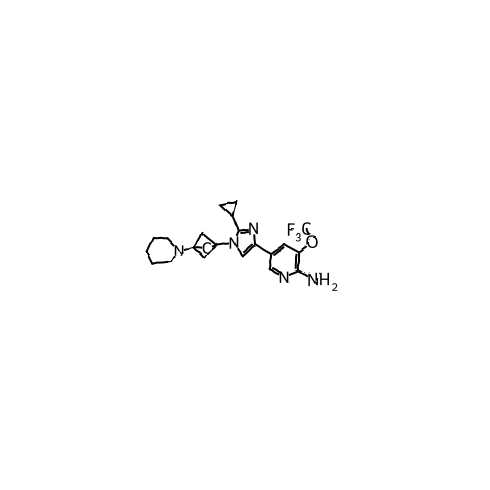 Nc1ncc(-c2cn(C34CC(N5CCCCC5)(C3)C4)c(C3CC3)n2)cc1OC(F)(F)F